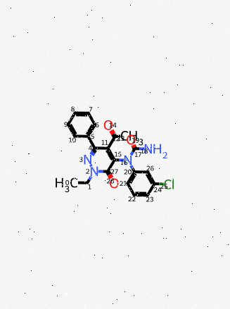 CCn1nc(-c2ccccc2)c(C(C)=O)c(N(C(N)=O)c2cccc(Cl)c2)c1=O